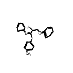 CC(=COc1ccccc1)C(=Nc1ccccc1)Oc1ccc(C)cc1